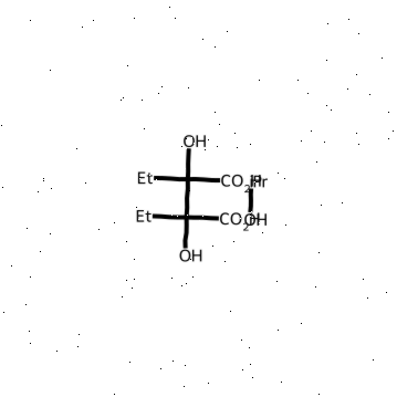 CC(C)O.CCC(O)(C(=O)O)C(O)(CC)C(=O)O